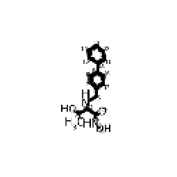 C[C@H](O)[C@H](NCc1ccc(-c2ccccc2)cc1)C(=O)NO